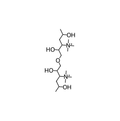 CC(O)CC(C(O)COCC(O)C(CC(C)O)[N+](C)(C)C)[N+](C)(C)C